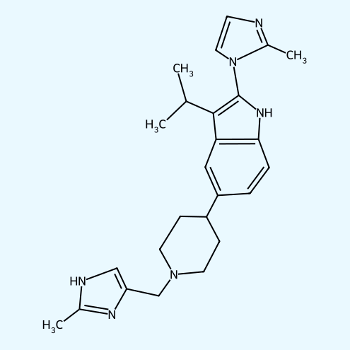 Cc1nc(CN2CCC(c3ccc4[nH]c(-n5ccnc5C)c(C(C)C)c4c3)CC2)c[nH]1